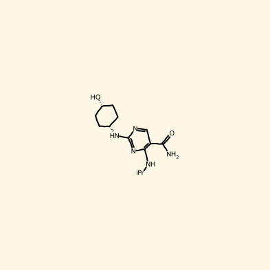 CC(C)Nc1nc(N[C@H]2CC[C@@H](O)CC2)ncc1C(N)=O